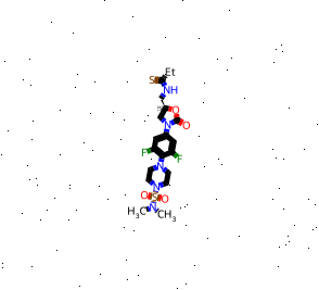 CCC(=S)NC[C@H]1CN(c2cc(F)c(N3CCN(S(=O)(=O)N(C)C)CC3)c(F)c2)C(=O)O1